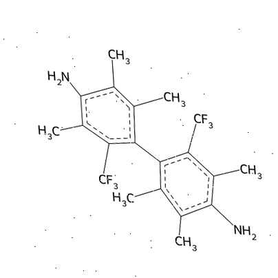 Cc1c(C)c(-c2c(C)c(C)c(N)c(C)c2C(F)(F)F)c(C(F)(F)F)c(C)c1N